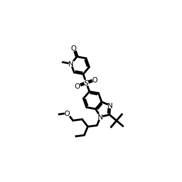 CCC(CCOC)Cn1c(C(C)(C)C)nc2cc(S(=O)(=O)c3ccc(=O)n(C)c3)ccc21